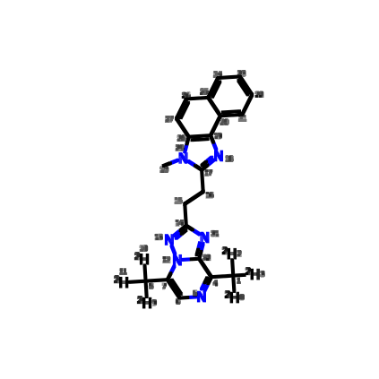 [2H]C([2H])([2H])c1ncc(C([2H])([2H])[2H])n2nc(CCc3nc4c5ccccc5ccc4n3C)nc12